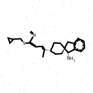 C=N/C(=C\C=C(/C)[C@H]1CC[C@@]2(CC1)Cc1ccccc1[C@@H]2N)SCC1CC1